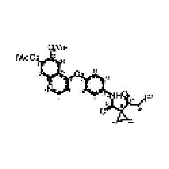 COc1cc2nccc(Oc3ccc(NC(=O)C4(C(=O)CI)CC4)cc3)c2cc1OC